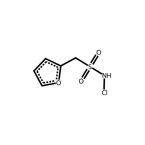 O=S(=O)(Cc1ccco1)NCl